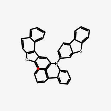 c1ccc(-c2ccccc2N(c2ccc3c(c2)sc2ccccc23)c2ccc3oc4ccc5ccccc5c4c3c2)cc1